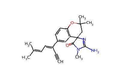 C#C/C(=C\C=C(C)C)c1ccc2c(c1)C1(CC(C)(C)O2)N=C(N)N(C)C1=O